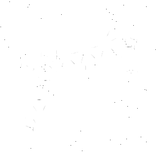 COCC[C@@H]1N=C(c2ccc(-c3ccc(C(=O)N[C@H](C(=O)N4C[C@H](O)C[C@H]4C(=O)NCc4ccc(-c5scnc5C)cc4)C(C)(C)C)cc3F)cc2)c2c(sc(C)c2C)-n2c(C)nnc21